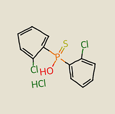 Cl.OP(=S)(c1ccccc1Cl)c1ccccc1Cl